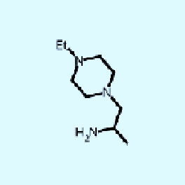 CCN1CCN(CC(C)N)CC1